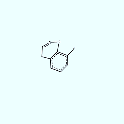 Fc1cccc2c1ON=CC2